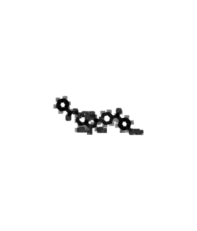 CCCC[C@H](CN(C=O)OC(=O)c1ccccc1)C(=O)N[C@H](C(=O)N1CCC(C(=O)c2ccc(OC)cc2)CC1)C(C)(C)C